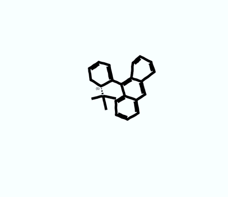 CC(C)(C)[C@@H]1CC=CC=C1c1c2ccccc2cc2ccccc12